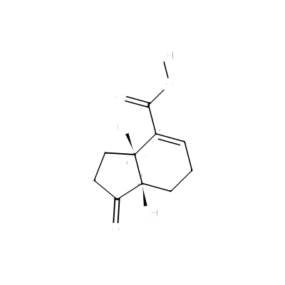 COC(=O)C1=CCC[C@]2(C)C(=O)CC[C@]12O